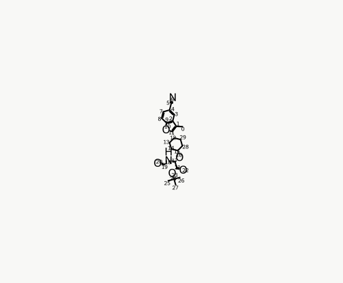 Cc1c2cc(C#N)ccc2oc1[C@H]1CC[C@H](OC(NC=O)C(=O)OC(C)(C)C)CC1